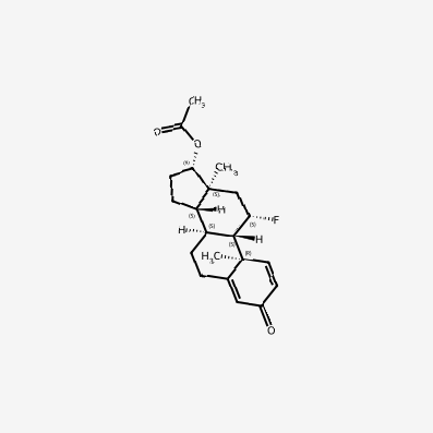 CC(=O)O[C@H]1CC[C@H]2[C@@H]3CCC4=CC(=O)C=C[C@]4(C)[C@H]3[C@@H](F)C[C@]12C